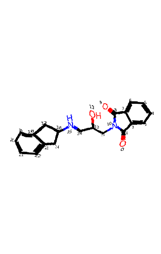 O=C1c2ccccc2C(=O)N1CC(O)CNC1Cc2ccccc2C1